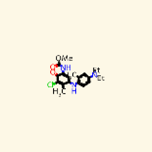 CCN(CC)c1ccc(NC2C=C(NC(=O)OC)C(=O)C(Cl)=C2C)c(C)c1